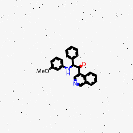 COc1cccc(NC(C(=O)c2cncc3ccccc23)c2ccccc2)c1